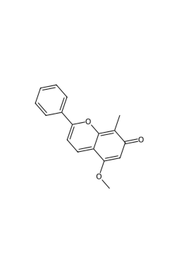 COc1cc(=O)c(C)c2oc(-c3ccccc3)ccc1-2